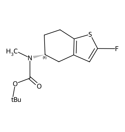 CN(C(=O)OC(C)(C)C)[C@@H]1CCc2sc(F)cc2C1